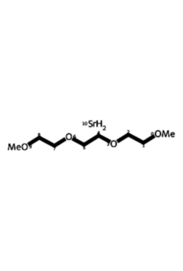 COCCOCCOCCOC.[SrH2]